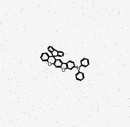 c1ccc(N(c2ccccc2)c2ccc3c(c2)oc2cc4c(cc23)C2(c3ccccc3O4)c3ccccc3-c3ccccc32)cc1